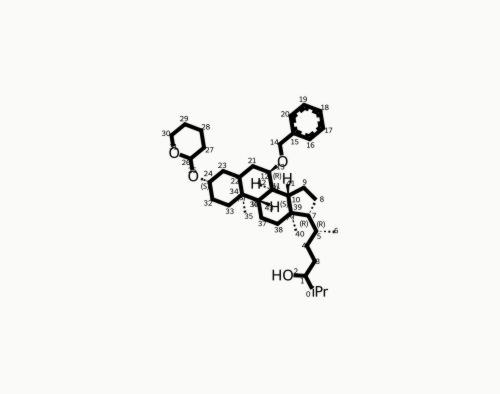 CC(C)C(O)CC[C@@H](C)[C@H]1CC[C@H]2[C@@H]3[C@H](OCc4ccccc4)CC4C[C@@H](OC5CCCCO5)CC[C@]4(C)[C@H]3CC[C@]12C